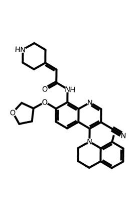 Cc1cccc2c1N(c1c(C#N)cnc3c(NC(=O)C=C4CCNCC4)c(OC4CCOC4)ccc13)CCC2